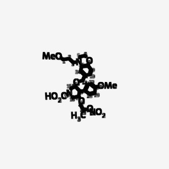 COCCCN1CCOc2ccc(CO[C@H]3CN(C(=O)O)C[C@@H](OC[C@H](C)O[N+](=O)[O-])[C@@H]3c3ccc(OC)cc3)cc21